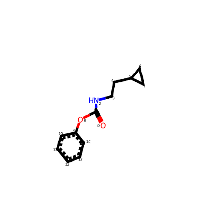 O=C(NCCC1CC1)Oc1ccccc1